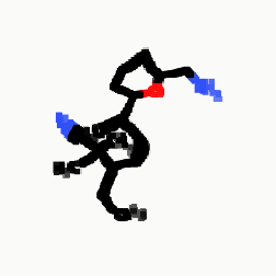 C=C(/C=C\C(=C/C)C(C)(C)C#N)[C@H]1CCCC(CN)O1